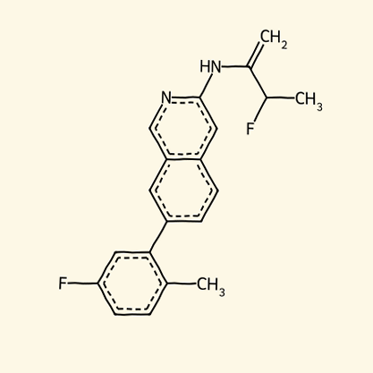 C=C(Nc1cc2ccc(-c3cc(F)ccc3C)cc2cn1)C(C)F